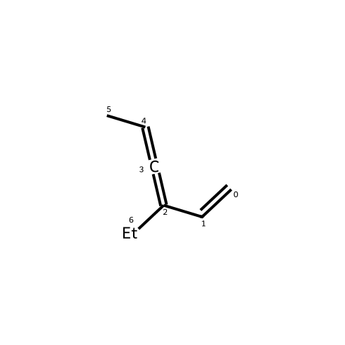 C=CC(=C=CC)CC